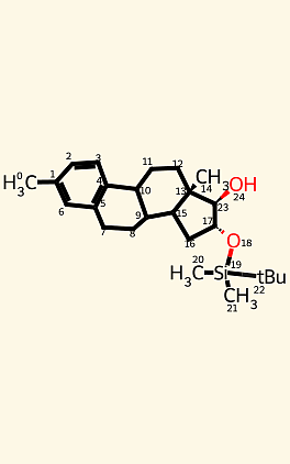 Cc1ccc2c(c1)CCC1C2CC[C@@]2(C)C1C[C@@H](O[Si](C)(C)C(C)(C)C)[C@@H]2O